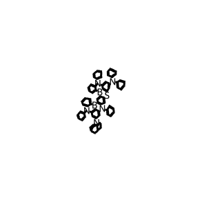 c1ccc(N(c2ccccc2)c2cc3c4c(c2)N(c2ccccc2)c2ccccc2B4c2cc4c(cc2S3)N(c2ccccc2)c2cc(N3C5CC6CC(C5)CC3C6)cc3c2B4c2ccccc2N3c2ccccc2)cc1